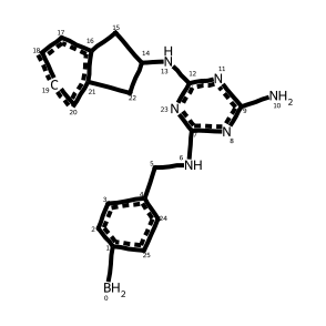 Bc1ccc(CNc2nc(N)nc(NC3Cc4ccccc4C3)n2)cc1